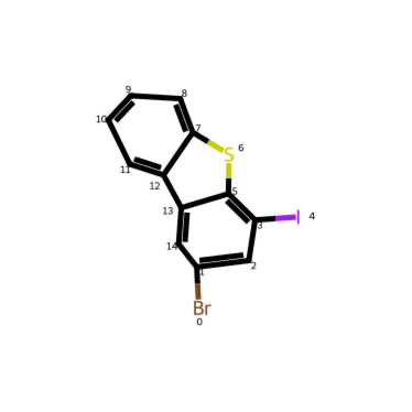 Brc1cc(I)c2sc3ccccc3c2c1